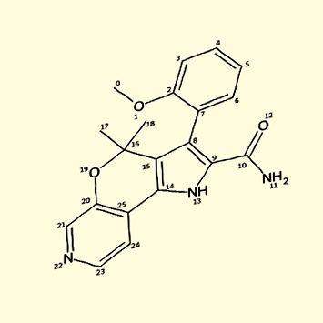 COc1ccccc1-c1c(C(N)=O)[nH]c2c1C(C)(C)Oc1cnccc1-2